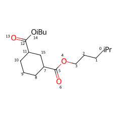 CC(C)CCCOC(=O)C1CCCC(C(=O)OCC(C)C)C1